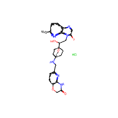 COc1ccc2ncc(=O)n(CC(O)C34CCC(NCc5ccc6c(n5)NC(=O)CO6)(CC3)CO4)c2n1.Cl